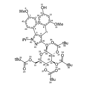 COc1ccc(-c2c(Cc3ccc(O)cc3OC)c(O[C@@H]3O[C@H](COC(=O)C(C)(C)C)[C@@H](OC(=O)C(C)(C)C)[C@H](OC(=O)C(C)(C)C)[C@H]3OC(=O)C(C)(C)C)nn2C(C)C)cc1